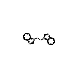 c1ccc2c(c1)ncn2SSn1cnc2ccccc21